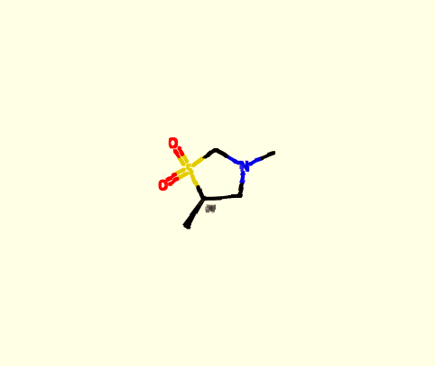 C[C@@H]1CN(C)CS1(=O)=O